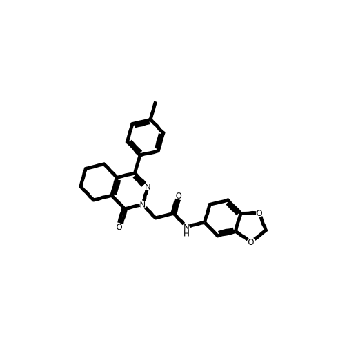 Cc1ccc(-c2nn(CC(=O)NC3C=C4OCOC4=CC3)c(=O)c3c2CCCC3)cc1